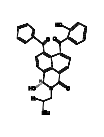 CCCCC(CC)CN1C(=O)c2ccc(C(=O)c3ccccc3O)c3c(C(=O)c4ccccc4)ccc(c23)[C@H]1O